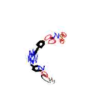 COc1ccc(Cn2nnc(-c3ccc(OC(=O)N=S(=O)=O)cc3)n2)cn1